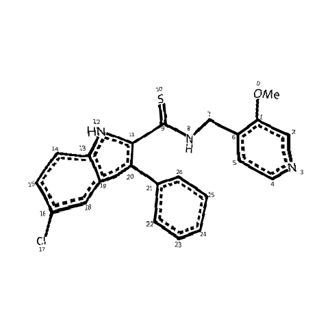 COc1cnccc1CNC(=S)c1[nH]c2ccc(Cl)cc2c1-c1ccccc1